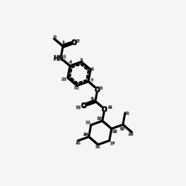 CC(=O)Nc1ccc(OC(=O)OC2CC(C)CCC2C(C)C)cc1